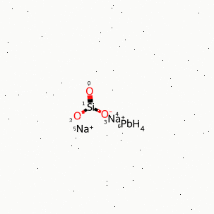 O=[Si]([O-])[O-].[Na+].[Na+].[PbH4]